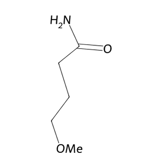 [CH2]OCCCC(N)=O